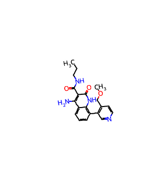 CCCNC(=O)c1c(N)c2cccc(-c3cnccc3COC)c2[nH]c1=O